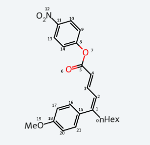 CCCCCCC(=CC=CC(=O)Oc1ccc([N+](=O)[O-])cc1)c1ccc(OC)cc1